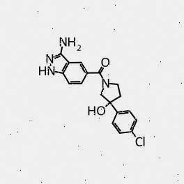 Nc1n[nH]c2ccc(C(=O)N3CCC(O)(c4ccc(Cl)cc4)C3)cc12